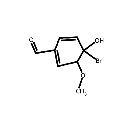 COC1C=C(C=O)C=CC1(O)Br